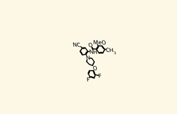 COc1cc(C)ccc1C(=O)Nc1cc(C#N)ccc1N1CCC(Oc2ccc(F)cc2F)CC1